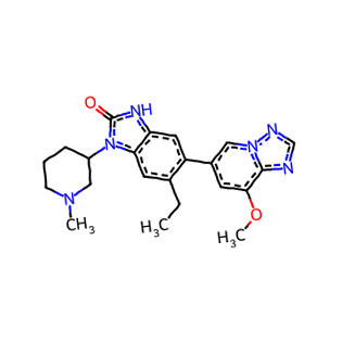 CCc1cc2c(cc1-c1cc(OC)c3ncnn3c1)[nH]c(=O)n2C1CCCN(C)C1